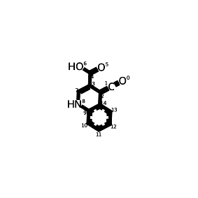 O=C=C1C(C(=O)O)=CNc2ccccc21